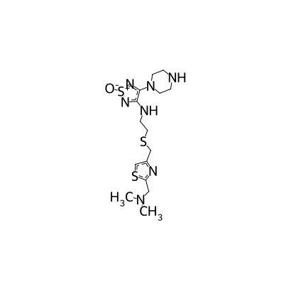 CN(C)Cc1nc(CSCCNc2n[s+]([O-])nc2N2CCNCC2)cs1